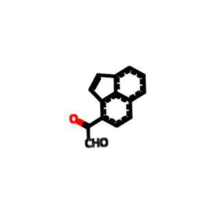 O=CC(=O)c1ccc2cccc3c2c1C=C3